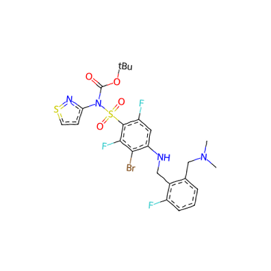 CN(C)Cc1cccc(F)c1CNc1cc(F)c(S(=O)(=O)N(C(=O)OC(C)(C)C)c2ccsn2)c(F)c1Br